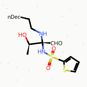 CCCCCCCCCCCCN[C@](C=O)(NS(=O)(=O)c1cccs1)[C@@H](C)O